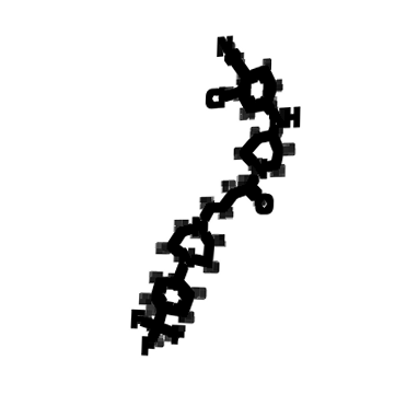 N#Cc1ccc(NC2CCN(C(=O)CCCN3CCN(c4ccc(C(F)(F)F)cc4)CC3)CC2)cc1Cl